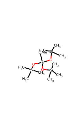 [CH2]O[Si](O[Si](C)(C)C)(O[Si](C)(C)C)O[Si](C)(C)C